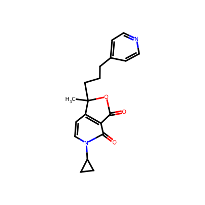 CC1(CCCc2ccncc2)OC(=O)c2c1ccn(C1CC1)c2=O